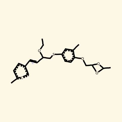 CCOC(/C=C/c1ccc(C)cc1)CSc1ccc(OCC2OC(C)O2)c(C)c1